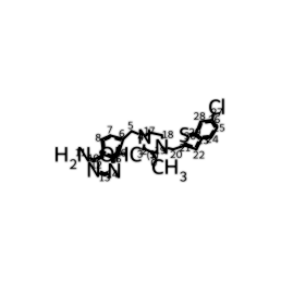 C[C@H]1C(C=O)N(Cc2ccc3c(N)ncnc3c2)CCN1Cc1cc2ccc(Cl)cc2s1